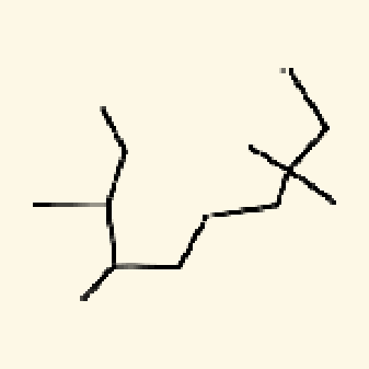 [CH2]CC(C)(C)CCCC(C)C(C)CC